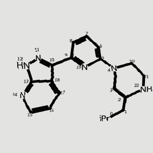 CC(C)CC1CN(c2cccc(-c3n[nH]c4ncccc34)n2)CCN1